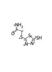 NC(=O)CSc1nnc(S)s1